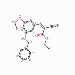 CCOC(=O)C(C#N)=Cc1cc2c(c(OCc3ccccc3)c1)CCO2